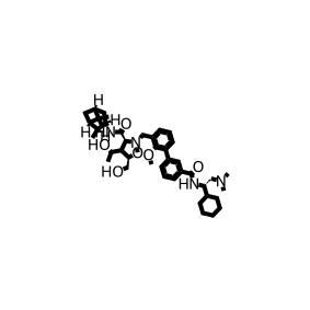 COc1c(CN2O[C@@H](CO)C(C(C)O)[C@H]2C(=O)N[C@H]2C[C@H]3C[C@@H]([C@@H]2C)C3(C)C)cccc1-c1cccc(C(=O)N[C@H](CN(C)C)C2CCCCC2)c1